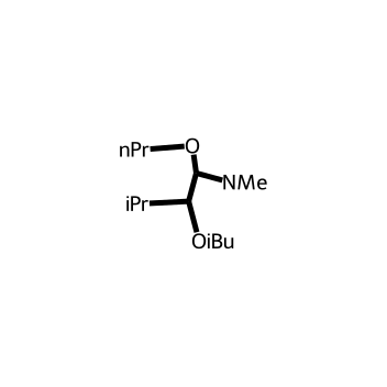 CCCOC(NC)C(OCC(C)C)C(C)C